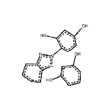 Oc1ccc(-n2nc3ccccc3n2)c(O)c1.Oc1cccc(O)c1